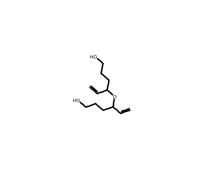 C=CC(CCCO)OC(C=C)CCCO